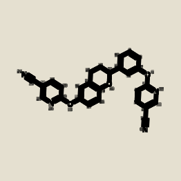 N#Cc1ccc(Oc2cccc(C3CCc4cc(Oc5ccc(C#N)cn5)ccc4O3)c2)nc1